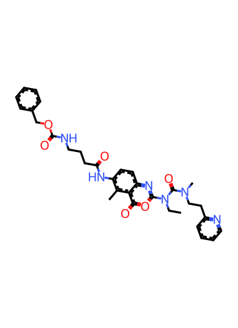 CCN(C(=O)N(C)CCc1ccccn1)c1nc2ccc(NC(=O)CCCNC(=O)OCc3ccccc3)c(C)c2c(=O)o1